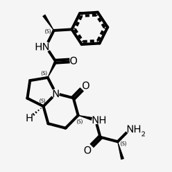 C[C@H](N)C(=O)N[C@H]1CC[C@H]2CC[C@@H](C(=O)N[C@@H](C)c3ccccc3)N2C1=O